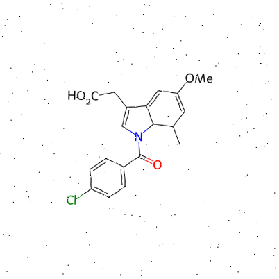 COC1=CC(C)C2C(=C1)C(CC(=O)O)=CN2C(=O)c1ccc(Cl)cc1